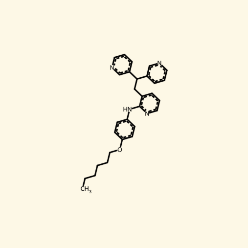 CCCCCCOc1ccc(Nc2ncccc2CC(c2cccnc2)c2cccnc2)cc1